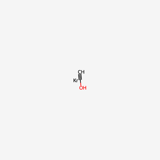 C#CO.[Kr]